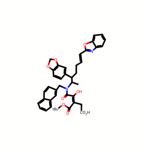 CC(C(CCC=Cc1nc2ccccc2o1)c1ccc2c(c1)OCO2)N(Cc1ccc2ccccc2c1)C(=O)C(O)=C(CC(=O)O)C(=O)OC(C)(C)C